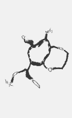 COC(=O)c1cc(Cl)c(N)c2c1OCCO2